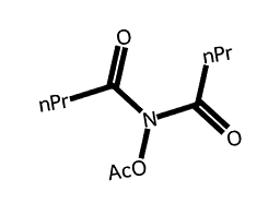 CCCC(=O)N(OC(C)=O)C(=O)CCC